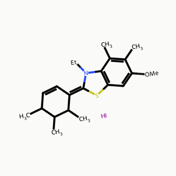 CCN1C(=C2C=CC(C)C(C)C2C)Sc2cc(OC)c(C)c(C)c21.I